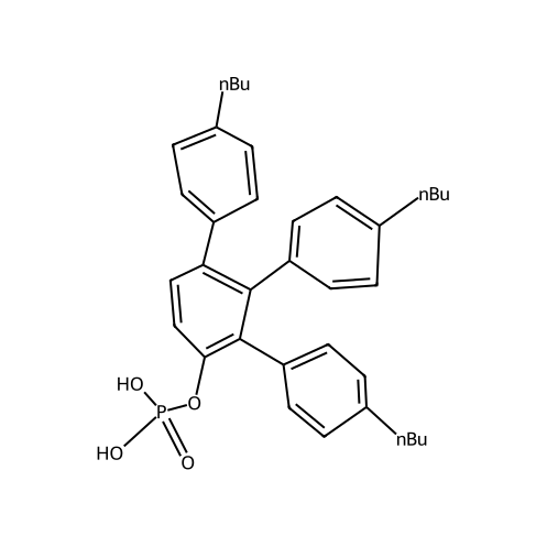 CCCCc1ccc(-c2ccc(OP(=O)(O)O)c(-c3ccc(CCCC)cc3)c2-c2ccc(CCCC)cc2)cc1